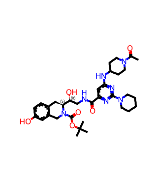 CC(=O)N1CCC(Nc2cc(C(=O)NC[C@@H](O)[C@@H]3Cc4ccc(O)cc4CN3C(=O)OC(C)(C)C)nc(N3CCCCC3)n2)CC1